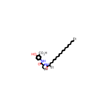 CCC=CCC=CCC=CCC=CCC=CCCC(CC)C(=O)NC(CC(C)C)C(=O)Nc1ccc(O)c(C(=O)O)c1